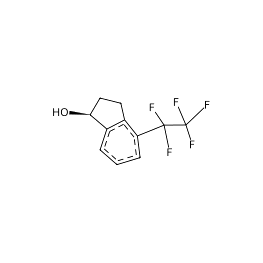 O[C@H]1CCc2c1cccc2C(F)(F)C(F)(F)F